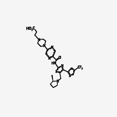 C[C@@H]1CCCN1Cc1sc(NC(=O)c2cnc(N3CCN(CCC(=O)O)CC3)cn2)nc1-c1cc(C(F)(F)F)cs1